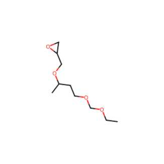 CCOCOCCC(C)OCC1CO1